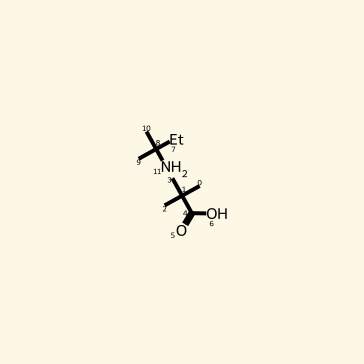 CC(C)(C)C(=O)O.CCC(C)(C)N